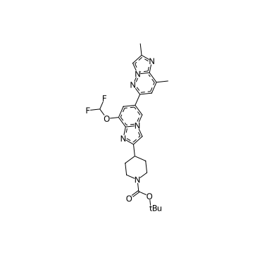 Cc1cn2nc(-c3cc(OC(F)F)c4nc(C5CCN(C(=O)OC(C)(C)C)CC5)cn4c3)cc(C)c2n1